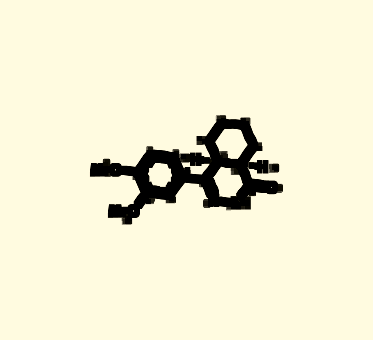 COc1ccc(C2=NNC(=O)[C@@H]3CCCC[C@H]23)cc1OC